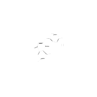 Cc1cc(CC2=CC(=O)c3cc(F)cc(F)c3C2=O)ncc1F